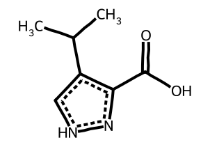 CC(C)c1c[nH]nc1C(=O)O